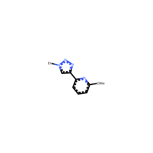 CCn1cc(-c2cccc(OC)n2)nn1